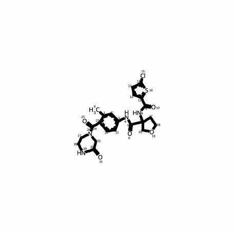 Cc1cc(NC(=O)C2(NC(=O)c3ccc(Cl)s3)CCOC2)ccc1C(=O)N1CCNC(=O)C1